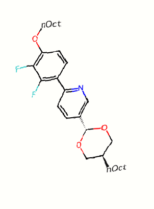 CCCCCCCCOc1ccc(-c2ccc([C@H]3OC[C@H](CCCCCCCC)CO3)cn2)c(F)c1F